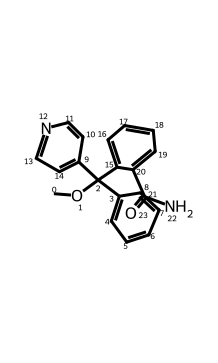 COC(c1ccccc1)(c1ccncc1)c1ccccc1C(N)=O